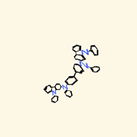 C1=CC(N(c2ccccc2)c2ccc(-c3ccc(N(c4ccccc4)c4ccc5c6ccccc6n(-c6ccccc6)c5c4)cc3)cc2)Cc2c1c1ccccc1n2-c1ccccc1